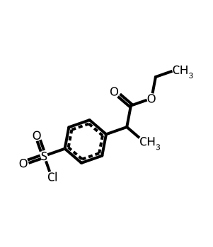 CCOC(=O)C(C)c1ccc(S(=O)(=O)Cl)cc1